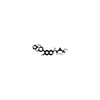 CC(C)(F)C1CC1C(=O)Nc1cc2cc(C3CCN([C@@]4(C)COC[C@H]4O)CC3)c(Cl)cc2cn1